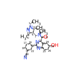 CCn1nc(C)c(CN(C)C(=O)c2nc(-c3cccc(C#N)c3)nc3ccc(O)cc23)c1C